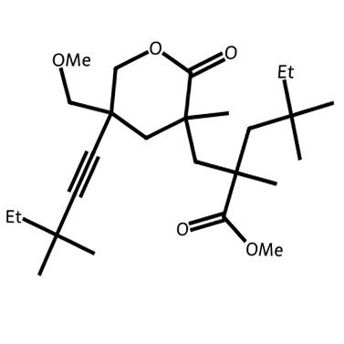 CCC(C)(C)C#CC1(COC)COC(=O)C(C)(CC(C)(CC(C)(C)CC)C(=O)OC)C1